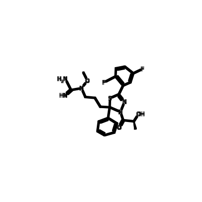 CON(CCCC1(c2ccccc2)SC(c2cc(F)ccc2F)=NN1C(=O)[C@H](C)O)C(=N)N